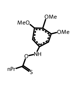 CCCC(=S)ONc1cc(OC)c(OC)c(OC)c1